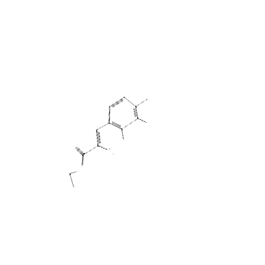 CCOC(=O)/C(N)=C/c1ccc(C)c(F)c1Cl